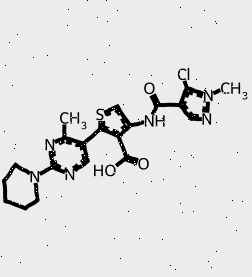 Cc1nc(N2CCCCC2)ncc1-c1scc(NC(=O)c2cnn(C)c2Cl)c1C(=O)O